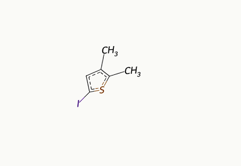 Cc1cc(I)sc1C